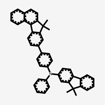 CC1(C)c2ccccc2-c2ccc(N(c3ccccc3)c3ccc(-c4ccc5c(c4)C(C)(C)c4ccc6ccccc6c4-5)cc3)cc21